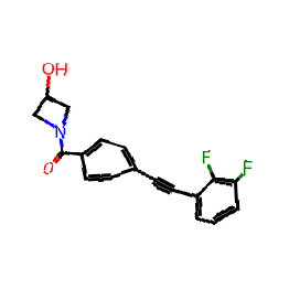 O=C(c1ccc(C#Cc2cccc(F)c2F)cc1)N1CC(O)C1